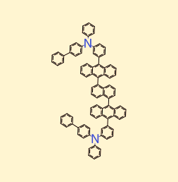 c1ccc(-c2ccc(N(c3ccccc3)c3cccc(-c4c5ccccc5c(-c5cccc6c(-c7c8ccccc8c(-c8cccc(N(c9ccccc9)c9ccc(-c%10ccccc%10)cc9)c8)c8ccccc78)cccc56)c5ccccc45)c3)cc2)cc1